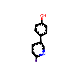 Oc1ccc(-c2ccc(I)nc2)cc1